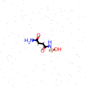 NC(=O)CCC(=O)NSO